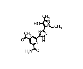 CCn1nc(C)c(O)c1-c1n[nH]c(-c2cc(C(C)=O)cc(C(N)=O)n2)n1